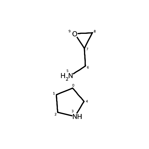 C1CCNC1.NCC1CO1